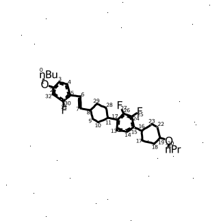 CCCCOc1ccc(/C=C/C2CCC(c3ccc(C4CCC(OCCC)CC4)c(F)c3F)CC2)c(F)c1